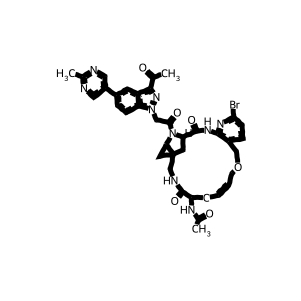 CC(=O)NC1CC=CCOCc2ccc(Br)nc2NC(=O)[C@@H]2CC3(CNC1=O)CC3N2C(=O)Cn1nc(C(C)=O)c2cc(-c3cnc(C)nc3)ccc21